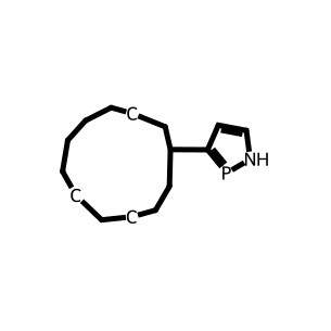 c1cc(C2CCCCCCCCCCC2)p[nH]1